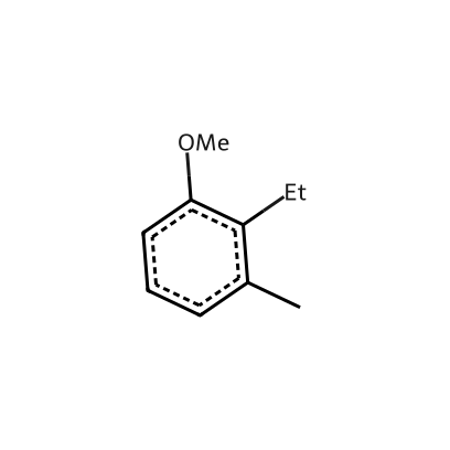 CCc1c(C)cccc1OC